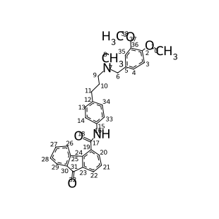 COc1ccc(CN(C)CCCc2ccc(NC(=O)c3cccc4c3-c3ccccc3C4=O)cc2)cc1OC